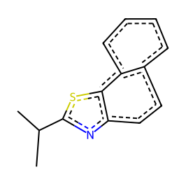 CC(C)c1nc2ccc3ccccc3c2s1